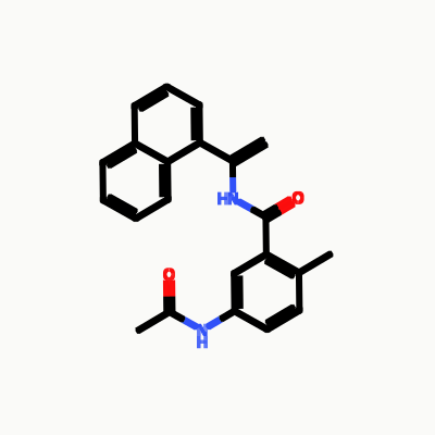 C=C(NC(=O)c1cc(NC(C)=O)ccc1C)c1cccc2ccccc12